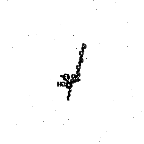 CCCCCc1cc(O)c(-c2cccc(C)c2)c(OCN(C)C(=O)OCCOCCOCCOCCOC)c1